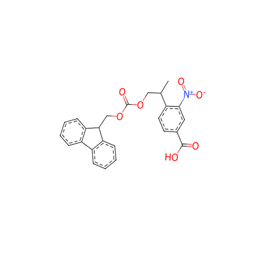 CC(COC(=O)OCC1c2ccccc2-c2ccccc21)c1ccc(C(=O)O)cc1[N+](=O)[O-]